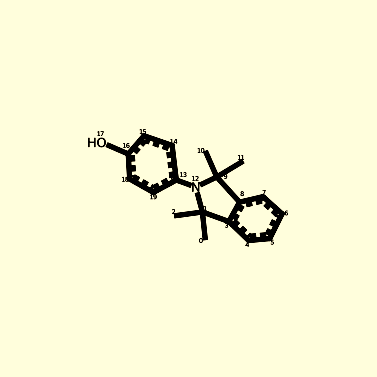 CC1(C)c2ccccc2C(C)(C)N1c1ccc(O)cc1